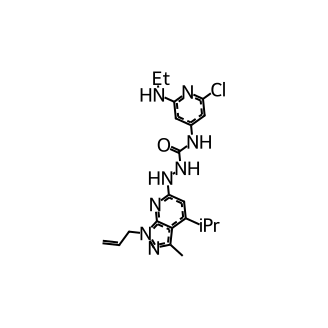 C=CCn1nc(C)c2c(C(C)C)cc(NNC(=O)Nc3cc(Cl)nc(NCC)c3)nc21